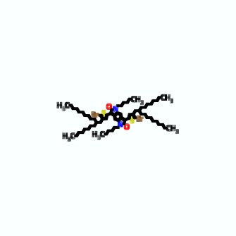 CCCCCCCCCCC(CCCCCCCC)Cc1cc(C2=c3cc4c(cc3N(CCCCCC)C2=O)=C(c2cc(CC(CCCCCCCC)CCCCCCCCCC)c(Br)s2)C(=O)N4CCCCCC)sc1Br